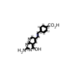 Nc1nc(O)c2cc(/C=C/c3ccc(C(=O)O)cc3)cnc2n1